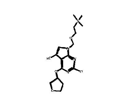 C[Si](C)(C)CCOCn1cc(C#N)c2c(OC3CCOC3)nc(Cl)nc21